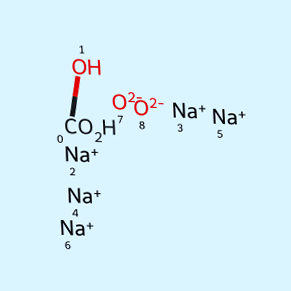 O=C(O)O.[Na+].[Na+].[Na+].[Na+].[Na+].[O-2].[O-2]